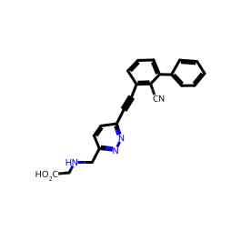 N#Cc1c(C#Cc2ccc(CNCC(=O)O)nn2)cccc1-c1ccccc1